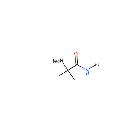 CCNC(=O)C(C)(C)NC